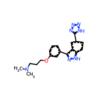 CN(C)CCCOc1cccc(-c2n[nH]c3ccc(-c4nnn[nH]4)cc23)c1